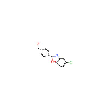 Clc1ccc2oc(-c3ccc(CBr)cc3)nc2c1